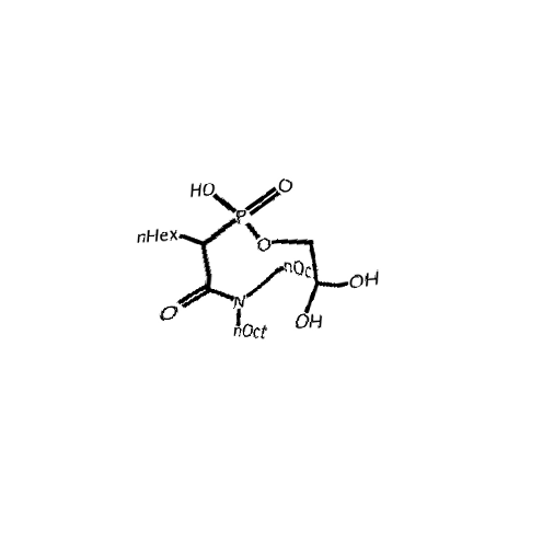 CCCCCCCCN(CCCCCCCC)C(=O)C(CCCCCC)P(=O)(O)OCC(O)O